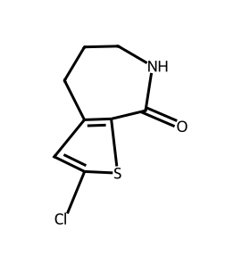 O=C1NCCCc2cc(Cl)sc21